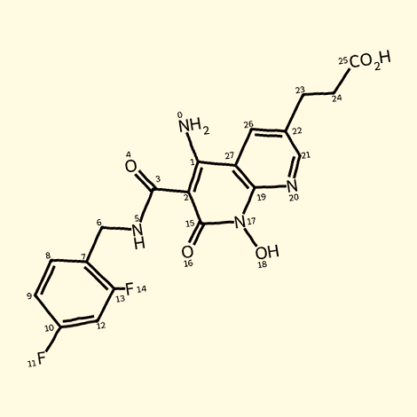 Nc1c(C(=O)NCc2ccc(F)cc2F)c(=O)n(O)c2ncc(CCC(=O)O)cc12